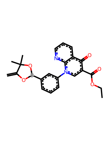 C=C1OB(c2cccc(-n3cc(C(=O)OCC)c(=O)c4cccnc43)c2)OC1(C)C